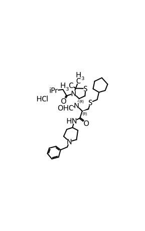 CC(C)CC(=O)N1[C@@H](N(C=O)[C@@H](CSCC2CCCCC2)C(=O)NC2CCN(Cc3ccccc3)CC2)CSC1(C)C.Cl